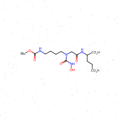 CC(C)(C)OC(=O)NCCCCN(CC(=O)NC(CCC(=O)O)C(=O)O)C(=O)NO